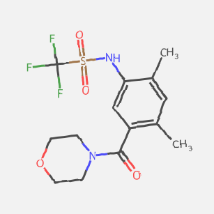 Cc1cc(C)c(C(=O)N2CCOCC2)cc1NS(=O)(=O)C(F)(F)F